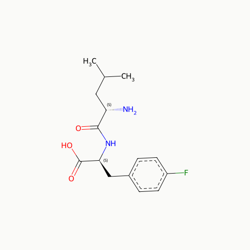 CC(C)C[C@H](N)C(=O)N[C@@H](Cc1ccc(F)cc1)C(=O)O